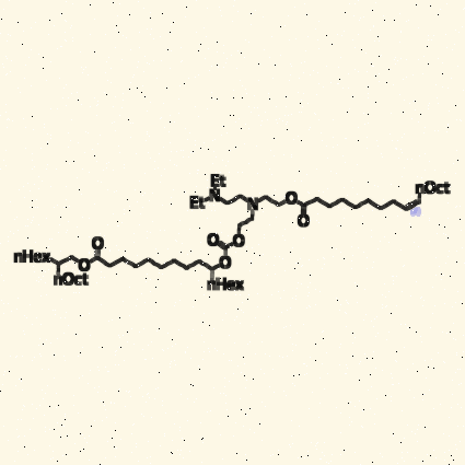 CCCCCCCC/C=C\CCCCCCCC(=O)OCCN(CCOC(=O)OC(CCCCCC)CCCCCCCCC(=O)OCC(CCCCCC)CCCCCCCC)CCN(CC)CC